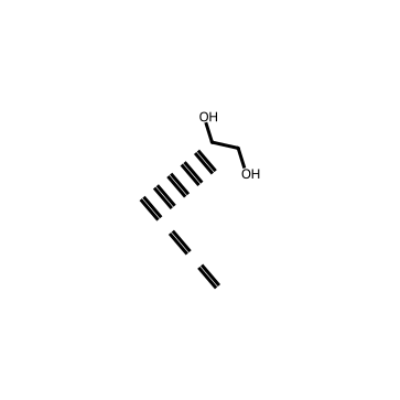 C=C.C=C.C=C.C=C.C=C.C=C.C=C.OCCO